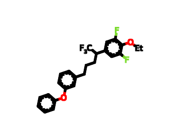 CCOc1c(F)cc(C(CCCc2cccc(Oc3ccccc3)c2)C(F)(F)F)cc1F